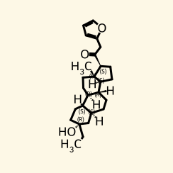 CC[C@@]1(O)CC[C@H]2[C@@H](CC[C@@H]3[C@@H]2CC[C@]2(C)[C@@H](C(=O)Cc4ccco4)CC[C@@H]32)C1